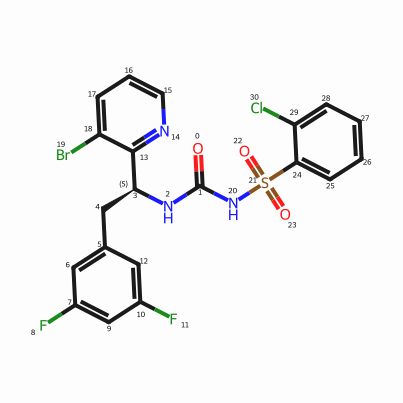 O=C(N[C@@H](Cc1cc(F)cc(F)c1)c1ncccc1Br)NS(=O)(=O)c1ccccc1Cl